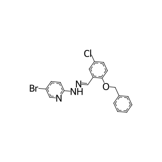 Clc1ccc(OCc2ccccc2)c(C=NNc2ccc(Br)cn2)c1